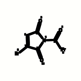 CC(C)C(=O)N1C(=O)C=C(Br)C1=O